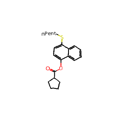 CCCCCSc1ccc(OC(=O)C2CCCC2)c2ccccc12